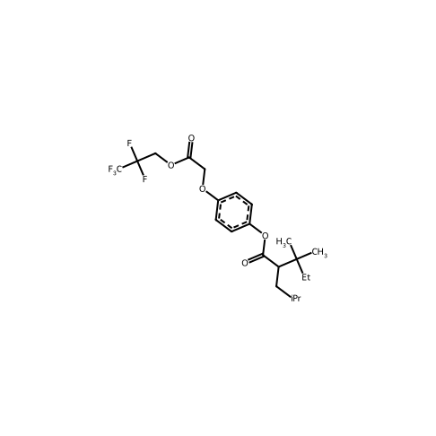 CCC(C)(C)C(CC(C)C)C(=O)Oc1ccc(OCC(=O)OCC(F)(F)C(F)(F)F)cc1